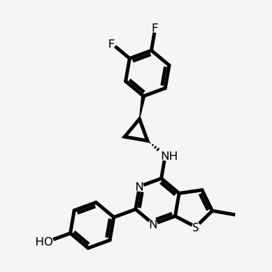 Cc1cc2c(N[C@@H]3C[C@H]3c3ccc(F)c(F)c3)nc(-c3ccc(O)cc3)nc2s1